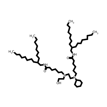 CCCCCCCCC(CCCCCCCC)CNC(=O)CCCCCN(CCO)CCN(CCCCCC(=O)NCC(CCCCCCCC)CCCCCCCC)C1CCCCC1